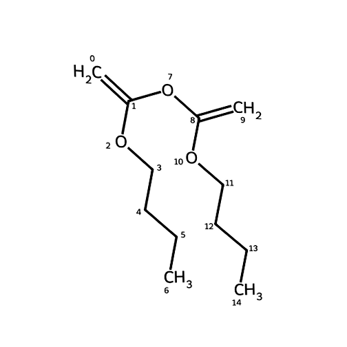 C=C(OCCCC)OC(=C)OCCCC